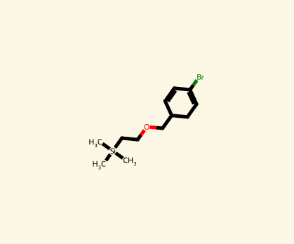 C[Si](C)(C)CCOCC1C=CC(Br)=CC1